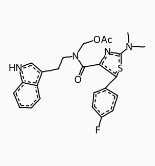 CC(=O)OCN(CCc1c[nH]c2ccccc12)C(=O)c1nc(N(C)C)sc1-c1ccc(F)cc1